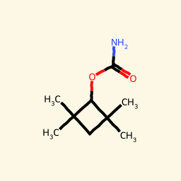 CC1(C)CC(C)(C)C1OC(N)=O